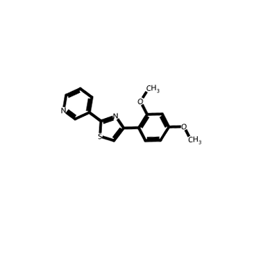 COc1ccc(-c2csc(-c3cccnc3)n2)c(OC)c1